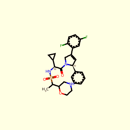 CC(C1CNCCO1)S(=O)(=O)N[C@H](C(=O)N1CC(c2cc(F)ccc2F)=C[C@H]1c1ccccc1)C1CC1